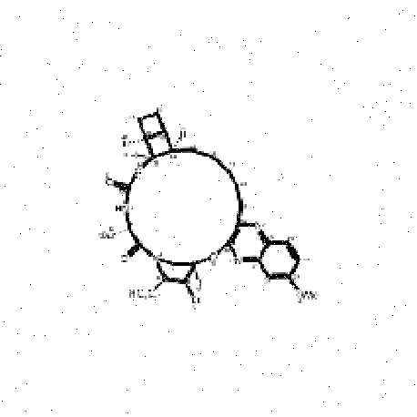 CC[C@@H]1[C@@H]2CN(C(=O)[C@H](C(C)(C)C)NC(=O)O[C@H]3[C@H](CCCCCc4nc5ccc(OC)cc5nc4O2)C2CC[C@@H]23)[C@@H]1C(=O)O